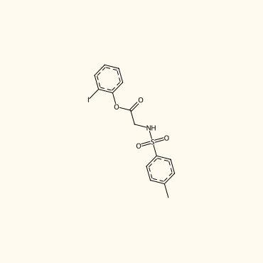 Cc1ccc(S(=O)(=O)NCC(=O)Oc2ccccc2I)cc1